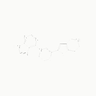 C1=C(c2cc3c(s2)CCNC3)SCCN1c1ncnc2[nH]cnc12